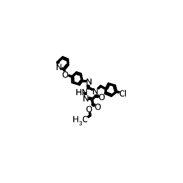 CCOC(=O)c1n[nH]/c(=N\c2ccc(Oc3ccccn3)cc2)n(Cc2ccc(Cl)cc2)c1=O